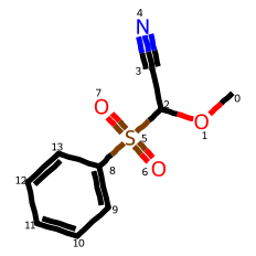 COC(C#N)S(=O)(=O)c1ccccc1